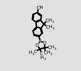 CC1(C)c2cc(C#N)ccc2-c2ccc(B3OC(C)(C)C(C)(C)O3)cc21